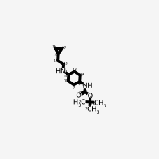 CC(C)(C)OC(=O)NC1CCC(NCCC2CC2)CC1